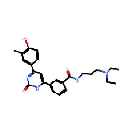 CCN(CC)CCCNC(=O)c1cccc(-c2cc(-c3ccc(O)c(C)c3)nc(=O)[nH]2)c1